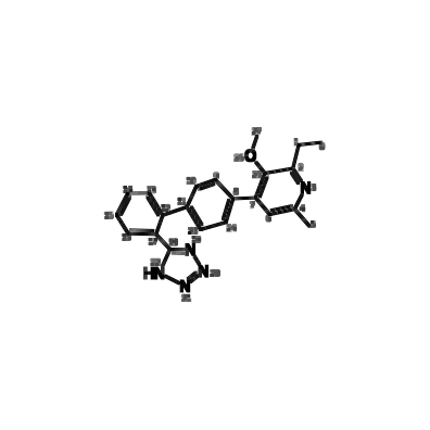 CCc1nc(C)cc(-c2ccc(-c3ccccc3-c3nnn[nH]3)cc2)c1OC